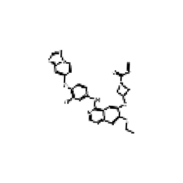 C=CC(=O)N1CC(Oc2cc3c(Nc4ccc(Oc5ccn6ncnc6c5)c(Cl)c4)ncnc3cc2OCC)C1